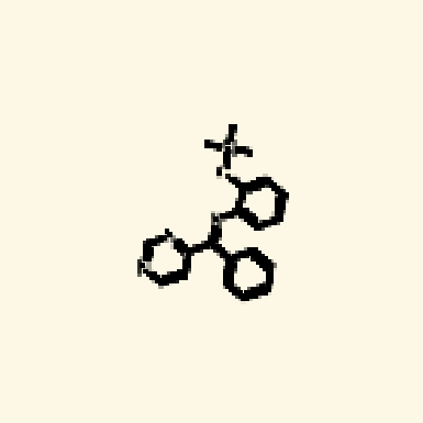 C[Si](C)(C)Oc1ccccc1N=C(c1ccccc1)c1ccncn1